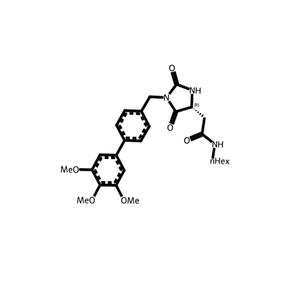 CCCCCCNC(=O)C[C@H]1NC(=O)N(Cc2ccc(-c3cc(OC)c(OC)c(OC)c3)cc2)C1=O